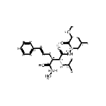 COCC(=O)N(CC(C)C)NC(=O)[C@H](CC(C)C)[C@H](CC=Cc1ccccc1)C(=O)NO